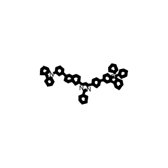 c1ccc(-c2nc(-c3ccc(-c4ccc5c(c4)-c4ccccc4[Si]5(c4ccccc4)c4ccccc4)cc3)cc(-c3ccc4cc(-c5cccc(-n6c7ccccc7c7ccccc76)c5)ccc4c3)n2)cc1